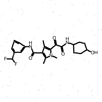 Cc1c(C(=O)Nc2cccc(C(F)F)c2)c(C)n(C)c1C(=O)C(=O)NC1CCC(O)CC1